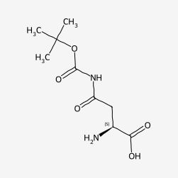 CC(C)(C)OC(=O)NC(=O)C[C@H](N)C(=O)O